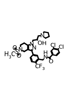 CS(=O)(=O)N1CCc2c(c(-c3ccc(C(F)(F)F)c(CNC(=O)c4ccc(Cl)c(Cl)c4)c3)nn2CC(O)CN2CCCC2)C1